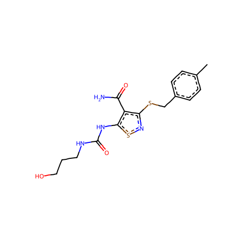 Cc1ccc(CSc2nsc(NC(=O)NCCCO)c2C(N)=O)cc1